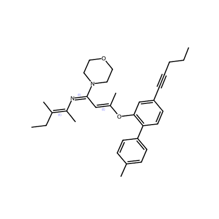 CCCC#Cc1ccc(-c2ccc(C)cc2)c(O/C(C)=C/C(=N\C(C)=C(/C)CC)N2CCOCC2)c1